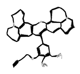 C#CCOc1cc(C2=c3cc4c5c(c3Oc3c2cc2c6c3CCCN6CCC2)CCC[N+]=5CCC4)cc([N+](=O)[O-])c1O